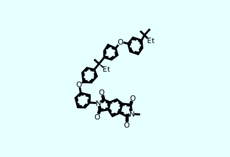 CCC(C)(C)c1cccc(Oc2ccc([C@](C)(CC)c3ccc(Oc4cccc(-n5c(=O)c6cc7c(=O)n(C)c(=O)c7cc6c5=O)c4)cc3)cc2)c1